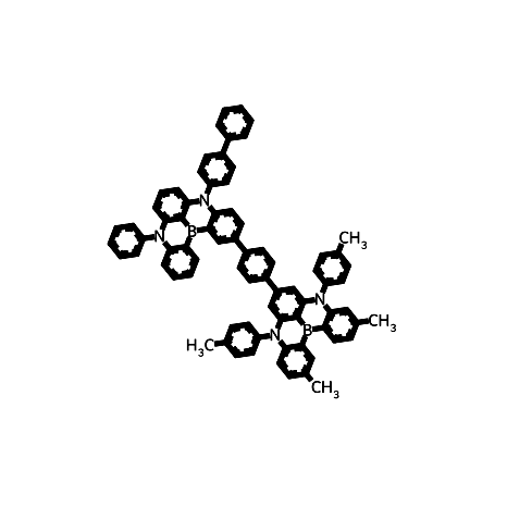 Cc1ccc(N2c3ccc(C)cc3B3c4ccc(C)cc4N(c4ccc(C)cc4)c4cc(-c5ccc(-c6ccc7c(c6)B6c8ccccc8N(c8ccccc8)c8cccc(c86)N7c6ccc(-c7ccccc7)cc6)cc5)cc2c43)cc1